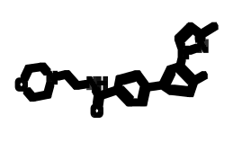 Cc1ccn(-c2cc(-c3ccc(C(=O)NCCN4CCOCC4)cc3)ccc2C)n1